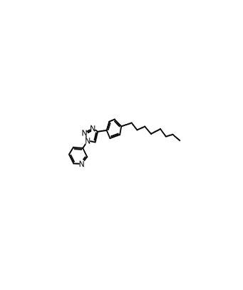 CCCCCCCCc1ccc(-c2cn(-c3cccnc3)nn2)cc1